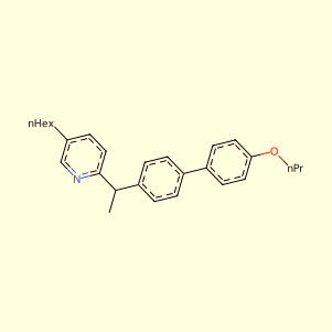 CCCCCCc1ccc(C(C)c2ccc(-c3ccc(OCCC)cc3)cc2)nc1